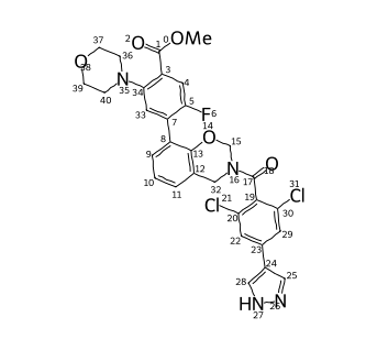 COC(=O)c1cc(F)c(-c2cccc3c2OCN(C(=O)c2c(Cl)cc(-c4cn[nH]c4)cc2Cl)C3)cc1N1CCOCC1